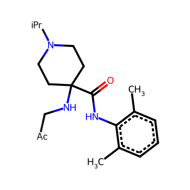 CC(=O)CNC1(C(=O)Nc2c(C)cccc2C)CCN(C(C)C)CC1